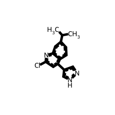 CC(C)c1ccc2c(-c3cn[nH]c3)cc(Cl)nc2c1